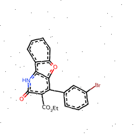 CCOC(=O)c1c(-c2cccc(Br)c2)c2oc3ccccc3c2[nH]c1=O